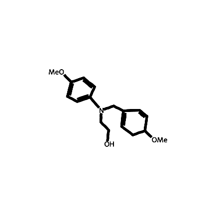 COc1ccc(N(CCO)CC2=CCC(OC)C=C2)cc1